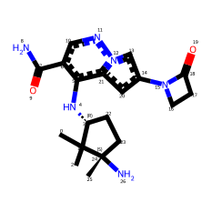 CC1(C)[C@H](Nc2c(C(N)=O)cnn3cc(N4CCC4=O)cc23)CC[C@]1(C)N